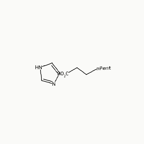 CCCCCCCC(=O)O.c1c[nH]cn1